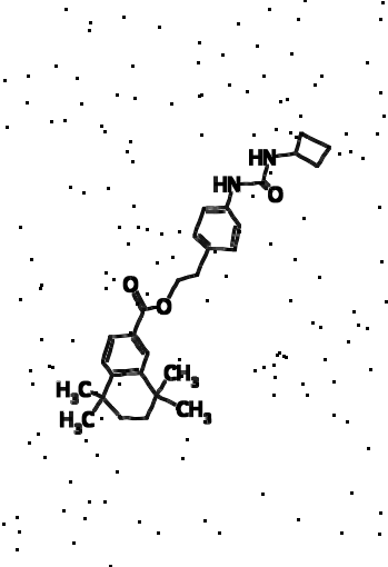 CC1(C)CCC(C)(C)c2cc(C(=O)OCCc3ccc(NC(=O)NC4CCC4)cc3)ccc21